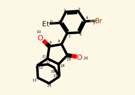 CCc1ccc(Br)cc1C1C(=O)C2C3CCC(CC3)C2C1=O